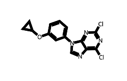 Clc1nc(Cl)c2ncn(-c3cccc(OC4CC4)c3)c2n1